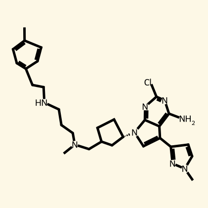 Cc1ccc(CCNCCCN(C)CC2CC[C@H](n3cc(-c4ccn(C)n4)c4c(N)nc(Cl)nc43)C2)cc1